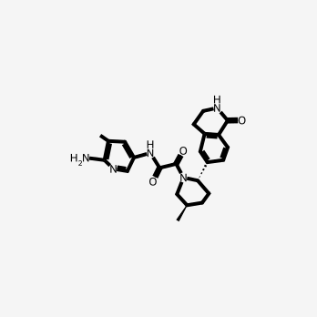 Cc1cc(NC(=O)C(=O)N2C[C@H](C)CC[C@H]2c2ccc3c(c2)CCNC3=O)cnc1N